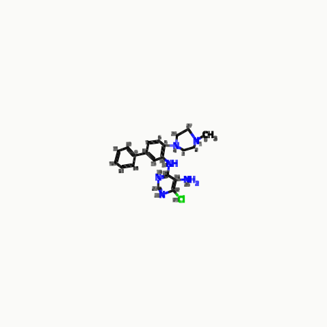 CN1CCN(c2ccc(-c3cc[c]cc3)cc2Nc2ncnc(Cl)c2N)CC1